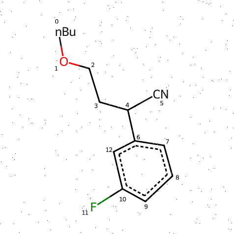 CCCCOCCC(C#N)c1cccc(F)c1